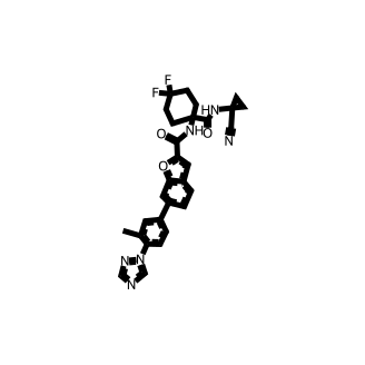 Cc1cc(-c2ccc3cc(C(=O)NC4(C(=O)NC5(C#N)CC5)CCC(F)(F)CC4)oc3c2)ccc1-n1cncn1